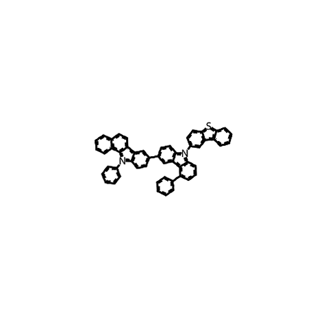 c1ccc(-c2cccc3c2c2cc(-c4ccc5c(c4)c4ccc6ccccc6c4n5-c4ccccc4)ccc2n3-c2ccc3sc4ccccc4c3c2)cc1